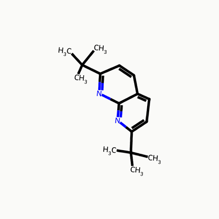 CC(C)(C)c1ccc2ccc(C(C)(C)C)nc2n1